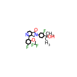 CC(C)(O)c1ccc(N2Cc3c(ccnc3-c3ccc(F)cc3OCC(F)F)C2=O)cc1F